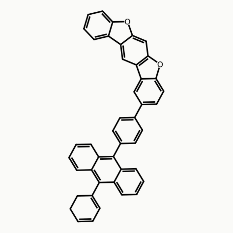 C1=CCCC(c2c3ccccc3c(-c3ccc(-c4ccc5oc6cc7oc8ccccc8c7cc6c5c4)cc3)c3ccccc23)=C1